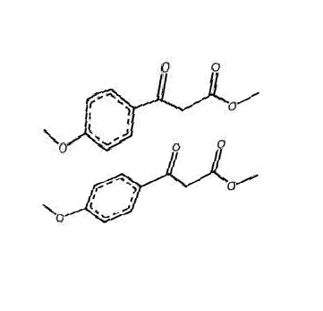 COC(=O)CC(=O)c1ccc(OC)cc1.COC(=O)CC(=O)c1ccc(OC)cc1